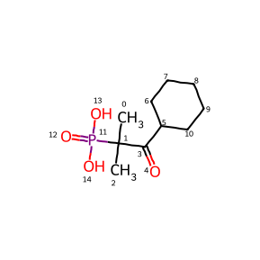 CC(C)(C(=O)C1CCCCC1)P(=O)(O)O